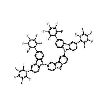 Fc1c(F)c(F)c(-c2ccc3c(c2)c2cc(-c4c(F)c(F)c(F)c(F)c4F)ccc2n3-c2ccc3sc4ccc(-n5c6ccc(-c7c(F)c(F)c(F)c(F)c7F)cc6c6cc(-c7c(F)c(F)c(F)c(F)c7F)ccc65)cc4c3c2)c(F)c1F